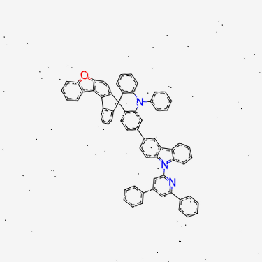 c1ccc(-c2cc(-c3ccccc3)nc(-n3c4ccccc4c4cc(-c5ccc6c(c5)N(c5ccccc5)c5ccccc5C65c6ccccc6-c6c5ccc5oc7ccccc7c65)ccc43)c2)cc1